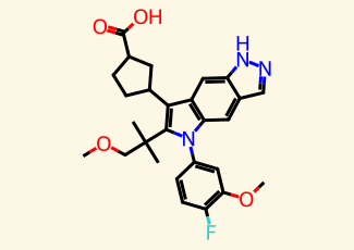 COCC(C)(C)c1c(C2CCC(C(=O)O)C2)c2cc3[nH]ncc3cc2n1-c1ccc(F)c(OC)c1